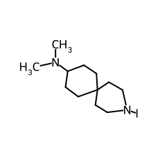 CN(C)C1CCC2(CC1)CCN(I)CC2